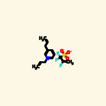 C=C(F)C(F)(F)S(=O)(=O)[O-].C=CCc1ccc[n+](CC=C)c1